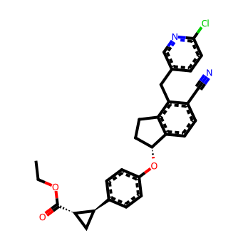 CCOC(=O)[C@H]1C[C@@H]1c1ccc(O[C@@H]2CCc3c2ccc(C#N)c3Cc2ccc(Cl)nc2)cc1